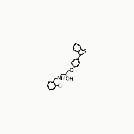 OC(CNCc1ccccc1Cl)COc1ccc(-c2csc3ccccc23)cc1